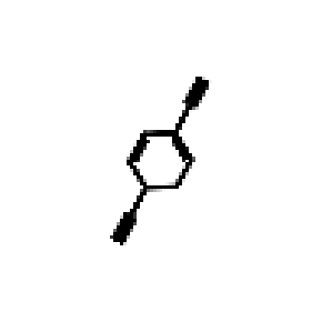 C#C[C]1C=CC(C#C)=CC1